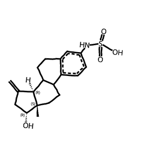 C=C1C[C@@H](O)[C@@]2(C)CCC3c4ccc(NS(=O)(=O)O)cc4CCC3[C@H]12